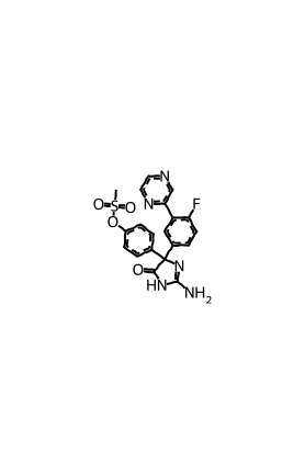 CS(=O)(=O)Oc1ccc(C2(c3ccc(F)c(-c4cnccn4)c3)N=C(N)NC2=O)cc1